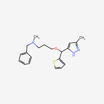 Cc1cc(C(OCCCN(C)Cc2ccccc2)c2cccs2)[nH]n1